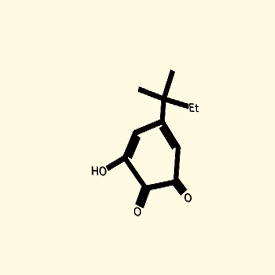 CCC(C)(C)C1=CC(=O)C(=O)C(O)=C1